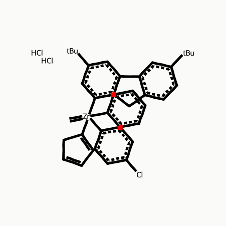 Cl.Cl.[CH2]=[Zr]([C]1=CC=CC1)([c]1ccccc1)([c]1ccc(Cl)cc1)[c]1cc(C(C)(C)C)cc2c1Cc1ccc(C(C)(C)C)cc1-2